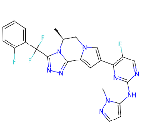 C[C@H]1Cn2cc(-c3nc(Nc4ccnn4C)ncc3F)cc2-c2nnc(C(F)(F)c3ccccc3F)n21